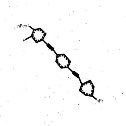 CCCCCc1ccc(C#Cc2ccc(C#Cc3ccc(CCC)cc3)cc2)cc1F